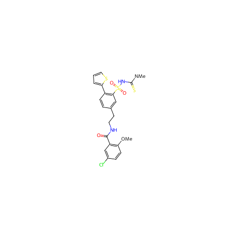 CNC(=S)NS(=O)(=O)c1cc(CCNC(=O)c2cc(Cl)ccc2OC)ccc1-c1cccs1